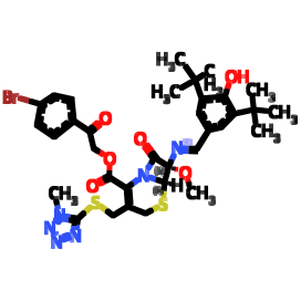 CO[C@@]1(/N=C/c2cc(C(C)(C)C)c(O)c(C(C)(C)C)c2)C(=O)N2C(C(=O)OCC(=O)c3ccc(Br)cc3)=C(CSc3nnnn3C)CS[C@@H]21